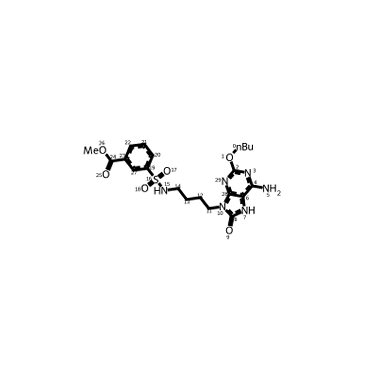 CCCCOc1nc(N)c2[nH]c(=O)n(CCCCNS(=O)(=O)c3cccc(C(=O)OC)c3)c2n1